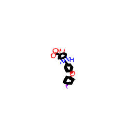 O=C(O)c1ccc2[nH]c(-c3ccc(Oc4ccc(I)cc4)cc3)nc2c1